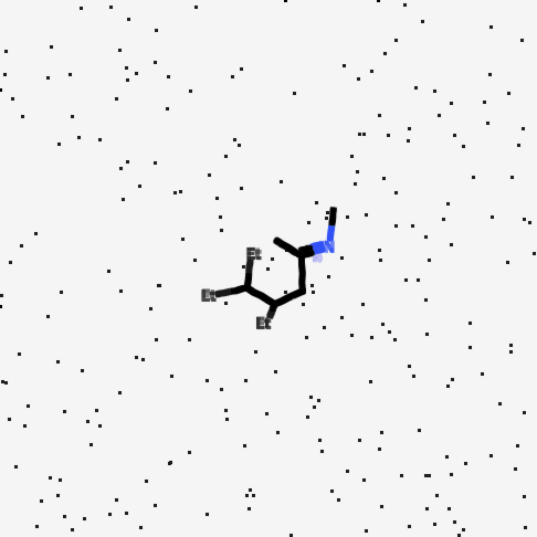 CCC(CC)C(CC)C/C(C)=N/C